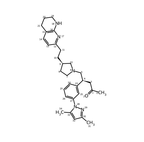 CC(=O)C[C@H](CN1CC[C@@H](CCc2ccc3c(n2)NCCC3)C1)c1cccc(-n2nc(C)cc2C)c1